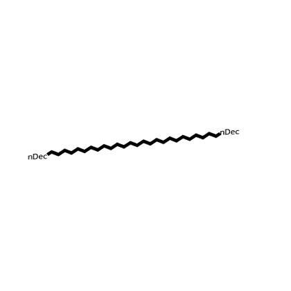 [CH2]CCCCCCCCCCCCCCCCCCCCCCCCCCCCCCCCCCCCCCCCCCCC[CH2]